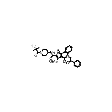 COc1c(C(=O)NC2CCN(C(=O)C(C)(C)O)CC2)n(C)c2c1c(=O)n(CC(=O)c1ccccc1)c1ccccc21